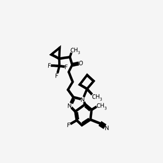 Cc1c(C#N)cc(F)c2nc(CCCC(=O)C(C)C3(C(F)(F)F)CC3)n(C3(C)CCC3)c12